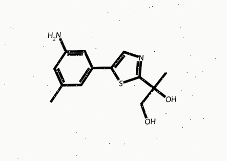 Cc1cc(N)cc(-c2cnc(C(C)(O)CO)s2)c1